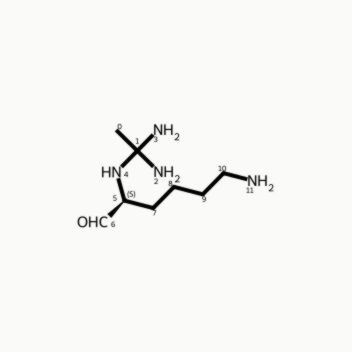 CC(N)(N)N[C@H](C=O)CCCCN